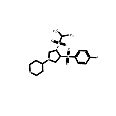 CC(C)S(=O)(=O)[C@H]1CN(C2CCOCC2)C[C@@H]1S(=O)(=O)c1ccc(F)cc1